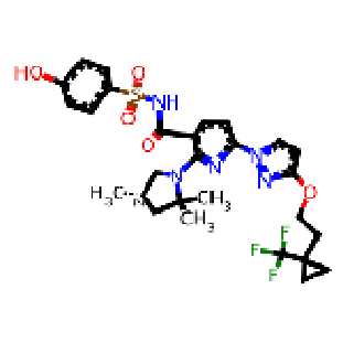 C[C@@H]1CN(c2nc(-n3ccc(OCCC4(C(F)(F)F)CC4)n3)ccc2C(=O)NS(=O)(=O)c2ccc(O)cc2)C(C)(C)C1